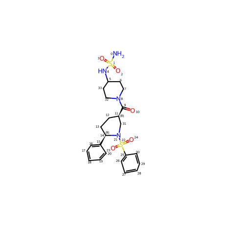 NS(=O)(=O)NC1CCN(C(=O)[C@@H]2CC[C@H](c3ccccc3)N(S(=O)(=O)c3ccccc3)C2)CC1